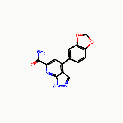 NC(=O)c1cc(-c2ccc3c(c2)OCO3)c2cn[nH]c2n1